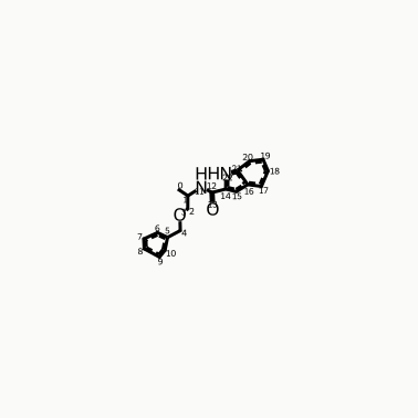 CC(COCc1ccccc1)NC(=O)c1cc2ccccc2[nH]1